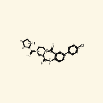 O=C1Nc2ccc(-c3ccc(Cl)cc3)cc2C(=O)N2CCN(C(=O)[C@@H]3CCCN3)CC12